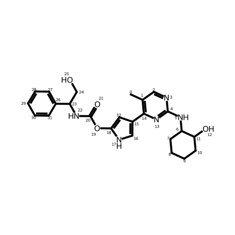 Cc1cnc(NC2CCCCC2O)nc1-c1c[nH]c(OC(=O)NC(CO)c2ccccc2)c1